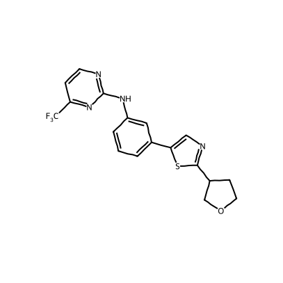 FC(F)(F)c1ccnc(Nc2cccc(-c3cnc(C4CCOC4)s3)c2)n1